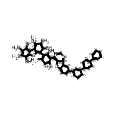 Bc1cc(B)c(-c2c(B)c(B)c(B)c3c2sc2c(B)c(B)c(B)c(B)c23)c(B)c1-c1ncnc2c1oc1ccc(-c3cccc(-c4ccc(-c5ccccc5)cc4)c3)cc12